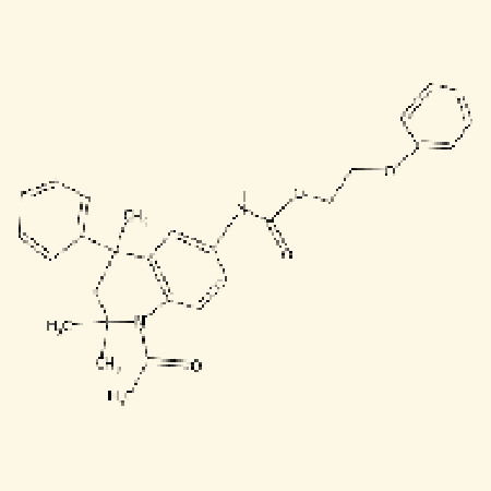 CC(=O)N1c2ccc(NC(=O)OCCOc3ccccc3)cc2C(C)(c2ccccc2)CC1(C)C